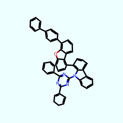 C1=CC(c2nc(-c3ccccc3)nc(-n3c4ccccc4c4cccc(-c5cccc6oc7c(-c8ccc(-c9ccccc9)cc8)cccc7c56)c43)n2)=CCC1